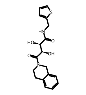 O=C(NCc1cccs1)[C@H](O)[C@@H](O)C(=O)N1CCc2ccccc2C1